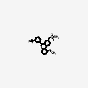 COc1cccc2c1-c1ccc(CS(N)(=O)=O)cc1C(c1cccc(C(F)(F)F)c1)O2